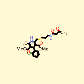 COC(=O)C1=C(C)NC(CSCCCNC(=O)CC(=O)C(F)(F)F)=C(C(=O)OC)C1c1ccccc1Cl